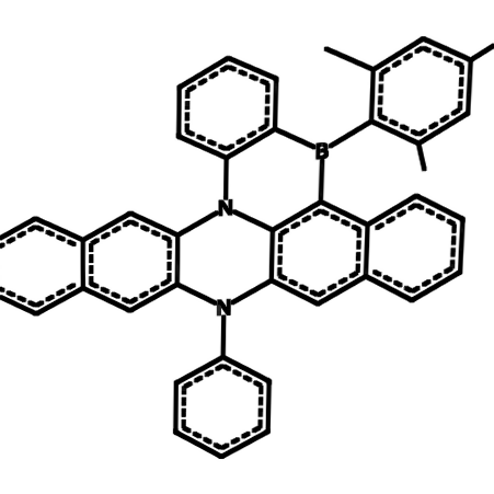 Cc1cc(C)c(B2c3ccccc3N3c4cc5ccccc5cc4N(c4ccccc4)c4cc5ccccc5c2c43)c(C)c1